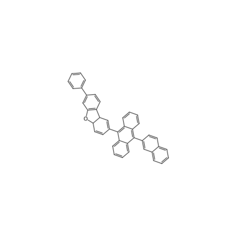 C1=CC2Oc3cc(-c4ccccc4)ccc3C2C=C1c1c2ccccc2c(-c2ccc3ccccc3c2)c2ccccc12